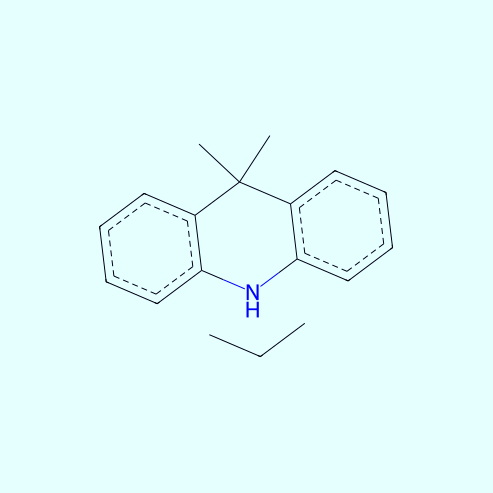 CC1(C)c2ccccc2Nc2ccccc21.CCC